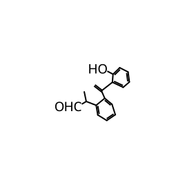 C=C(c1ccccc1O)c1ccccc1C(C)C=O